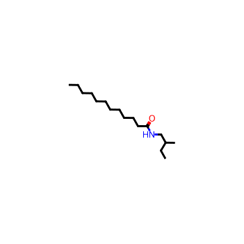 CCCCCCCCCCCC(=O)NCC(C)CC